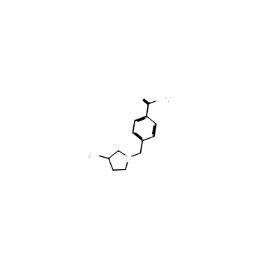 CCCC1CCN(Cc2ccc(C(=O)OC)cc2)C1